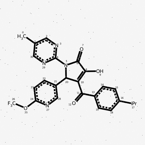 Cc1cnc(N2C(=O)C(O)=C(C(=O)c3ccc(C(C)C)cc3)C2c2ccc(OC(F)(F)F)nc2)nc1